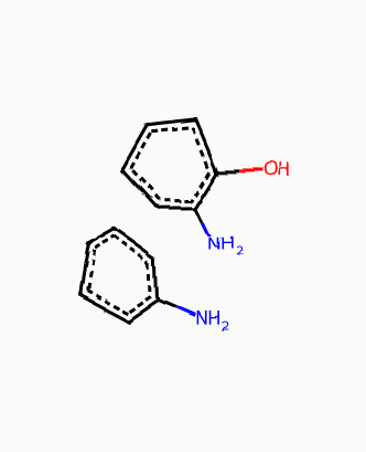 Nc1ccccc1.Nc1ccccc1O